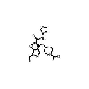 CCn1ncc2c(NC3CCN(C(C)=O)CC3)c(C(=O)NC3CCCC3)cnc21